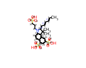 C/C=C/C=C/C=C1/N(CCCS(=O)(=O)O)c2ccc3c(S(=O)(=O)O)cc(S(=O)(=O)O)cc3c2C1(C)C